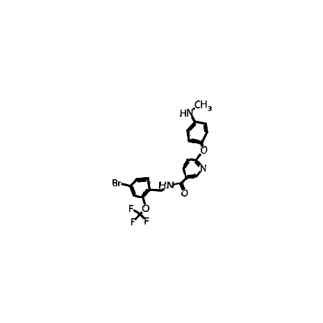 CNc1ccc(Oc2ccc(C(=O)NCc3ccc(Br)cc3OC(F)(F)F)cn2)cc1